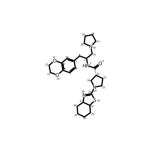 O=C(NC(Cc1ccc2c(c1)OCCO2)CN1CCCC1)[C@@H]1CCN(C2=NC3CCCCC3S2)C1